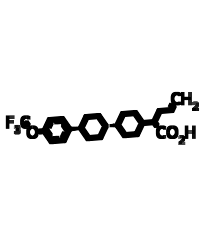 C=CCC(C(=O)O)C1CCC([C@H]2CC[C@H](c3ccc(OC(F)(F)F)cc3)CC2)CC1